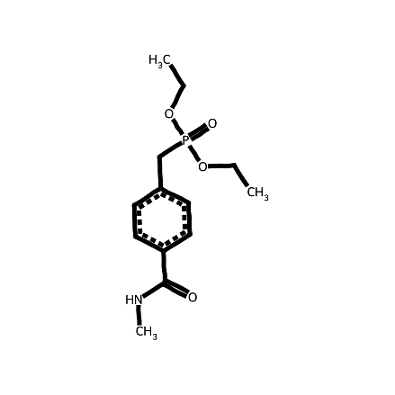 CCOP(=O)(Cc1ccc(C(=O)NC)cc1)OCC